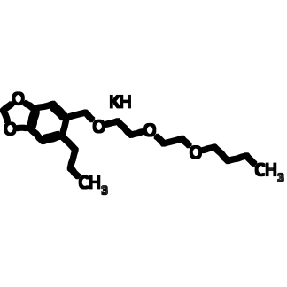 CCCCOCCOCCOCc1cc2c(cc1CCC)OCO2.[KH]